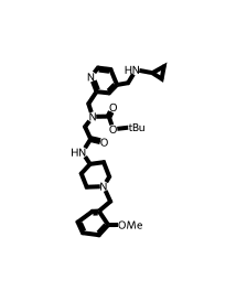 COc1ccccc1CN1CCC(NC(=O)CN(Cc2cc(CNC3CC3)ccn2)C(=O)OC(C)(C)C)CC1